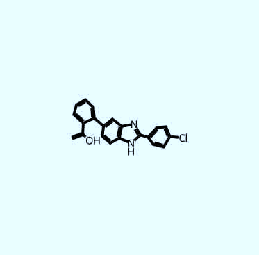 C=C(O)c1ccccc1-c1ccc2[nH]c(-c3ccc(Cl)cc3)nc2c1